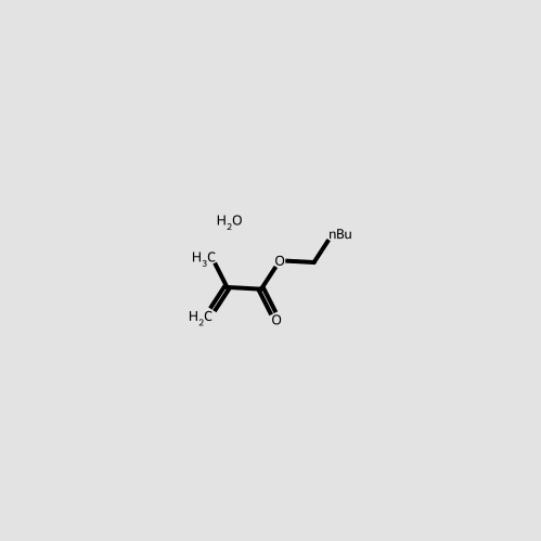 C=C(C)C(=O)OCCCCC.O